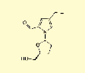 CCc1cc(C=O)n([C@H]2CC[C@@H](CO)O2)c1